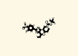 CCC(OC1CCN(C(=O)OC(C)(C)C)CC1)C1=NC(c2ccc([S+](C)[O-])c(F)c2)=NC1